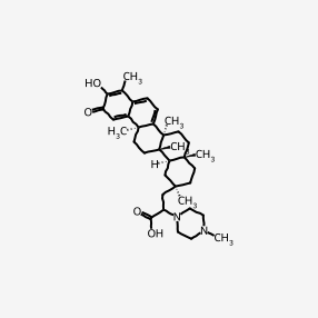 CC1=C(O)C(=O)C=C2C1=CC=C1[C@@]2(C)CC[C@@]2(C)[C@@H]3C[C@](C)(CC(C(=O)O)N4CCN(C)CC4)CC[C@@]3(C)CC[C@]12C